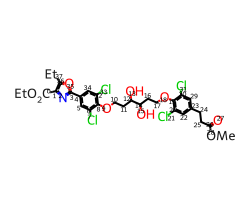 CCOC(=O)c1nc(-c2cc(Cl)c(OCCC(O)C(O)CCOc3c(Cl)cc(CCC(=O)OC)cc3Cl)c(Cl)c2)oc1CC